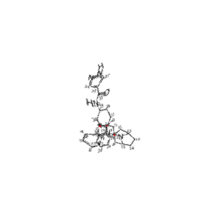 Cc1nc2ccccc2n1C1CC2CCC(C1)N2CCC1(c2ccccc2)CCC(NC(=O)c2cn[nH]c2)CC1